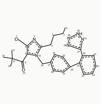 CCCCc1nc(Cl)c(C(=O)C(C)(C)C)n1Cc1ccc(-c2ccccc2-c2nn[nH]n2)cc1